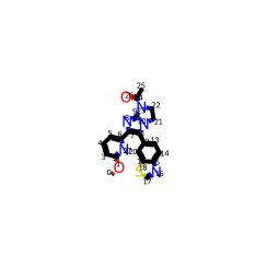 COc1cccc(-c2nc3n(c2-c2ccc4ncsc4c2)CCN3C(C)=O)n1